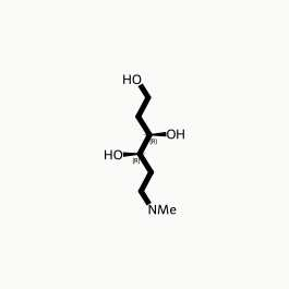 CNCC[C@@H](O)[C@H](O)CCO